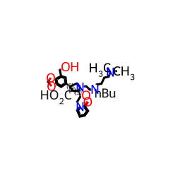 CCCCN(CCCCN(C)C)C(=O)CN1C[C@H](c2cc(CO)c3c(c2)OCO3)[C@@H](C(=O)O)[C@@H]1CCn1ccccc1=O